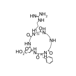 N=C(N)NCCC[C@@H]1NC(=O)CNC(=O)[C@H](CC(=O)O)NC(=O)[C@@H](Cc2ccccc2)NC(=O)CCNCCNC1=O